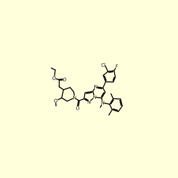 CCOC(=O)CC1CCN(C(=O)c2cc3nc(-c4ccc(F)c(Cl)c4)cc(N(C)c4c(C)cccc4C)n3n2)CC1OC